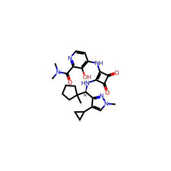 CN(C)C(=O)c1nccc(Nc2c(N[C@@H](c3nn(C)cc3C3CC3)C3(C)CCCC3)c(=O)c2=O)c1O